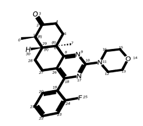 C[C@H]1C(=O)CC[C@@]2(C)c3nc(N4CCOCC4)nc(-c4ccccc4F)c3CC[C@H]12